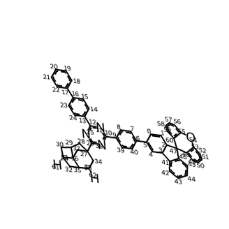 C1=CC2C(C=C1c1ccc(-c3nc(-c4ccc(-c5ccccc5)cc4)nc(C45CC6C[C@@H]7C[C@@H](C4)CC67C5)n3)cc1)c1ccccc1C21c2ccccc2Oc2ccccc21